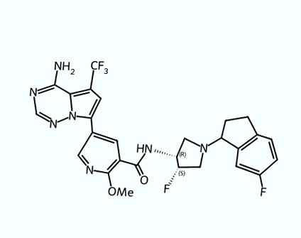 COc1ncc(-c2cc(C(F)(F)F)c3c(N)ncnn23)cc1C(=O)N[C@@H]1CN(C2CCc3ccc(F)cc32)C[C@@H]1F